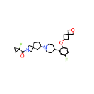 O=C(N1CC2(CC[C@@H](N3CCC(c4cc(F)ccc4OC4CC5(COC5)C4)CC3)C2)C1)C1(F)CC1